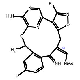 CCc1noc2c1-c1cnc(N)c(n1)OC(C)c1cc(F)ccc1C(=N)/C(=C\NC)C2